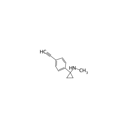 C#Cc1ccc(C2(NC)CC2)cc1